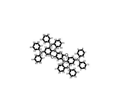 c1ccc(N(c2ccccc2)c2cc3c4c(c2)N(c2ccccc2)c2ccccc2B4c2cc4c(nc2O3)B2c3ccccc3N(c3ccccc3)c3cc(N(c5ccccc5)c5ccccc5)cc(c32)O4)cc1